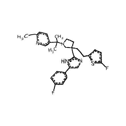 Cc1ccc(C(C)(C)N2CCC(CCc3ccc(F)s3)(c3ncc(-c4ccc(F)cc4)[nH]3)C2)cn1